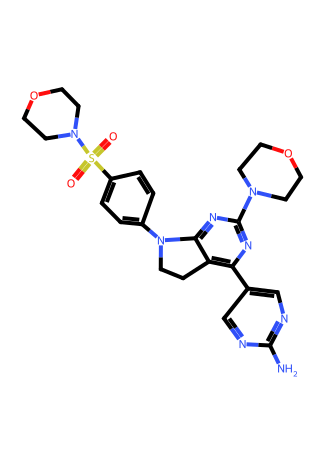 Nc1ncc(-c2nc(N3CCOCC3)nc3c2CCN3c2ccc(S(=O)(=O)N3CCOCC3)cc2)cn1